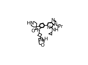 CC(C)n1cnc2cc(-c3ccc4c(c3)N(C3CC(N5C6CC[C@H]5COC6)C3)C(=O)C43CCNCC3)nc(NC3CC3)c21